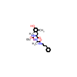 Cc1cc(O)cc(C)c1CC(NC(=O)OC(C)(C)C)C(=O)N[C@H](C)C(=O)NC=CCc1ccccc1